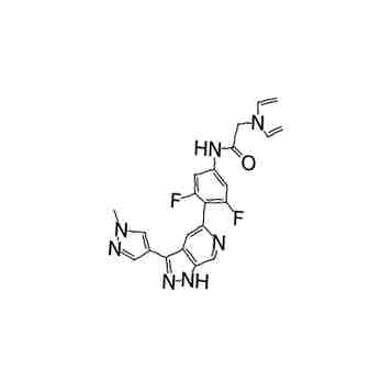 C=CN(C=C)CC(=O)Nc1cc(F)c(-c2cc3c(-c4cnn(C)c4)n[nH]c3cn2)c(F)c1